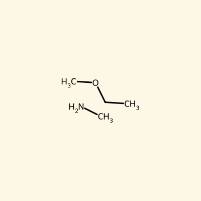 CCOC.CN